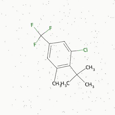 Cc1cc(C(F)(F)F)cc(Cl)c1C(C)(C)C